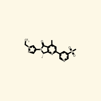 Cc1cc(-c2cncc(S(C)(=O)=O)c2)nc2c1C(=O)N(c1cnn(CC(F)(F)F)c1)[C@H]2C